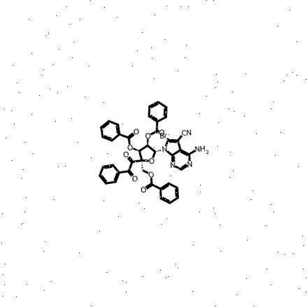 N#Cc1c(Br)n([C@@H]2O[C@@](COC(=O)c3ccccc3)(C(=O)C(=O)c3ccccc3)[C@@H](OC(=O)c3ccccc3)[C@H]2OC(=O)c2ccccc2)c2ncnc(N)c12